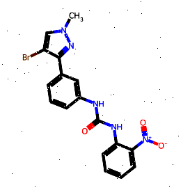 Cn1cc(Br)c(-c2cccc(NC(=O)Nc3ccccc3[N+](=O)[O-])c2)n1